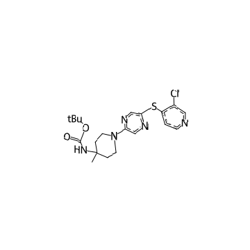 CC1(NC(=O)OC(C)(C)C)CCN(c2cnc(Sc3ccncc3Cl)cn2)CC1